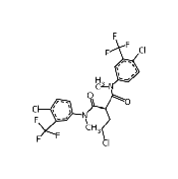 CN(C(=O)C(CCCl)C(=O)N(C)c1ccc(Cl)c(C(F)(F)F)c1)c1ccc(Cl)c(C(F)(F)F)c1